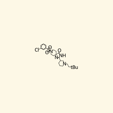 CC(C)(C)CCN1CCCC(C2=NC3(CCN(S(=O)(=O)c4cccc(Cl)c4)CC3)C(=O)N2)C1